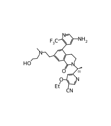 CCOc1cc([C@H](C)N2CCc3c(cc(CCN(C)CCO)cc3-c3cc(N)cnc3C(F)(F)F)C2=O)ncc1C#N